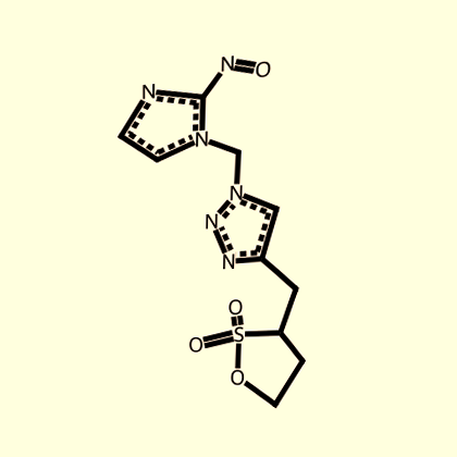 O=Nc1nccn1Cn1cc(CC2CCOS2(=O)=O)nn1